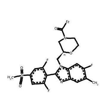 CCC(=O)N1CCO[C@@H](Cn2c(-c3c(F)cc(S(C)(=O)=O)cc3F)nc3cc(C)c(F)cc32)C1